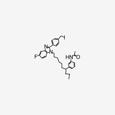 CCCC(CCCCCCn1c(-c2ccc(CI)cc2)nc2cc(F)ccc21)c1cccc(NC(C)=O)c1